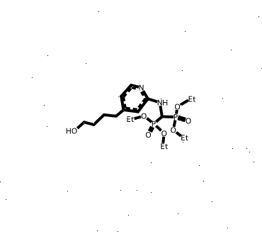 CCOP(=O)(OCC)C(Nc1cc(CCCCO)ccn1)P(=O)(OCC)OCC